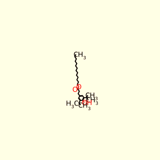 CCCCCCCCCCCCCCOC(=O)CCc1cc(C(C)C)c(O)c(C(C)C)c1